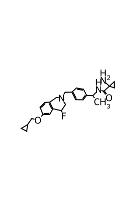 C[C@H](NC(=O)C1(N)CC1)c1ccc(CN2Cc3ccc(OCC4CC4)cc3C(F)C2)cc1